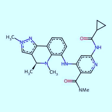 CNC(=O)c1cnc(NC(=O)C2CC2)cc1Nc1cccc2c1N(C)[C@@H](C)c1cn(C)nc1-2